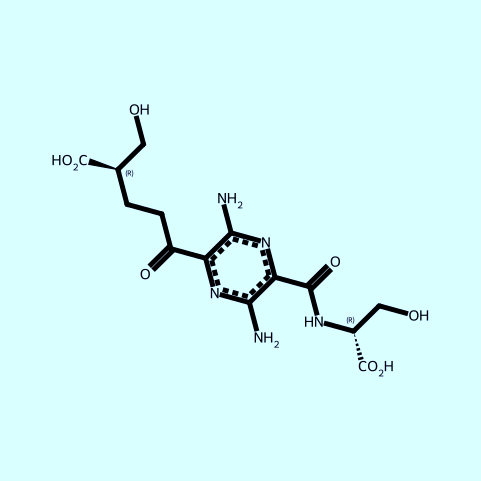 Nc1nc(C(=O)N[C@H](CO)C(=O)O)c(N)nc1C(=O)CC[C@H](CO)C(=O)O